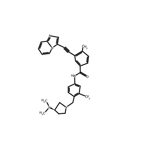 Cc1ccc(C(=O)Nc2ccc(CN3CC[C@@H](N(C)C)C3)c(C(F)(F)F)c2)cc1C#Cc1cnc2ccccn12